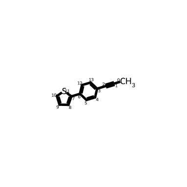 CC#Cc1ccc(-c2cccs2)cc1